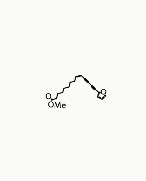 COC(=O)CCCCCCC/C=C\C#CC#Cc1ccco1